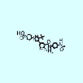 CC(=O)Nc1ccc(NC(=O)c2cc(-c3cn(C4CCN(C(=O)O)CC4)nc3C(C)(C)C)cnc2N)cc1